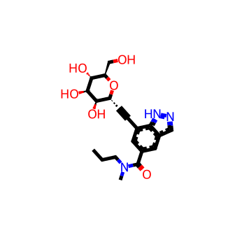 CCCN(C)C(=O)c1cc(C#C[C@H]2O[C@H](CO)[C@@H](O)[C@H](O)[C@@H]2O)c2[nH]ncc2c1